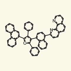 c1ccc(-c2oc(-c3cc4ccccc4c4ccccc34)c(-c3ccccc3)c2-c2ccc(-c3ccc4ccc5cccnc5c4n3)c3ccccc23)cc1